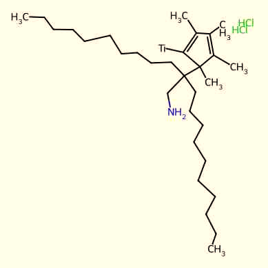 CCCCCCCCCCC(CN)(CCCCCCCCCC)C1(C)C(C)=C(C)C(C)=[C]1[Ti].Cl.Cl